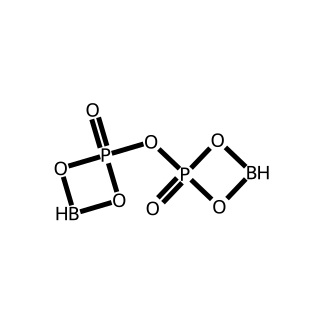 O=P1(OP2(=O)OBO2)OBO1